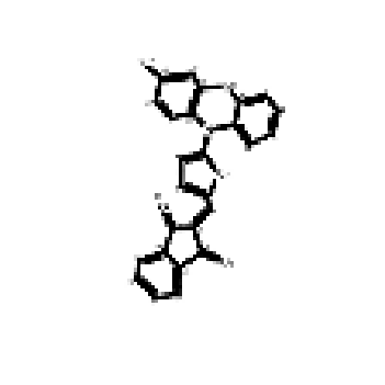 O=C1C(=Cc2ccc(N3c4ccccc4Sc4cc(F)ccc43)s2)C(=O)c2ccccc21